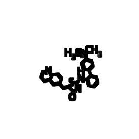 CN(C)c1ccc(-c2ccccc2NC2=NC(=O)/C(=C/c3ccc4ncccc4c3)S2)cc1